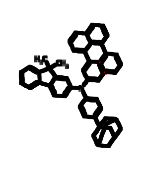 CC1(C)c2ccccc2-c2ccc(N(c3ccc(C45CC6CC(CC(C6)C4)C5)cc3)c3cccc(-c4cccc5cccc(-c6ccccc6)c45)c3)cc21